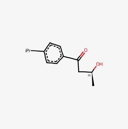 CC(C)c1ccc(C(=O)C[C@H](C)O)cc1